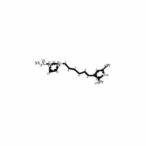 CC(C)c1cc(CCCCCC[n+]2ccn(C)c2)c(C(C)C)s1